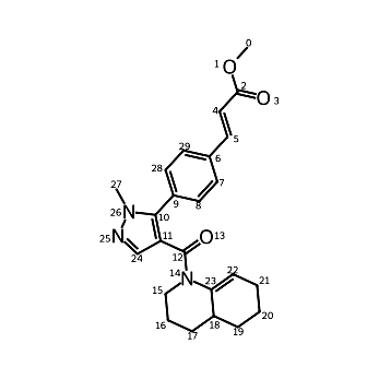 COC(=O)/C=C/c1ccc(-c2c(C(=O)N3CCCC4CCCC=C43)cnn2C)cc1